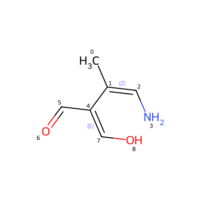 CC(=C/N)/C(C=O)=C\O